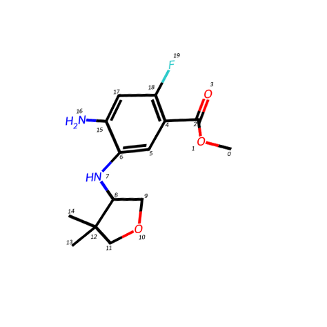 COC(=O)c1cc(NC2COCC2(C)C)c(N)cc1F